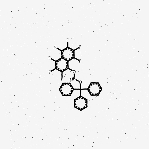 Fc1c(F)c(F)c2c(OBOC(c3ccccc3)(c3ccccc3)c3ccccc3)c(F)c(F)c(F)c2c1F